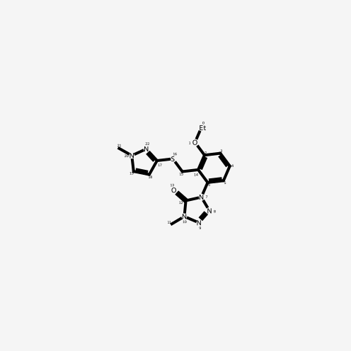 CCOc1cccc(-n2nnn(C)c2=O)c1CSc1ccn(C)n1